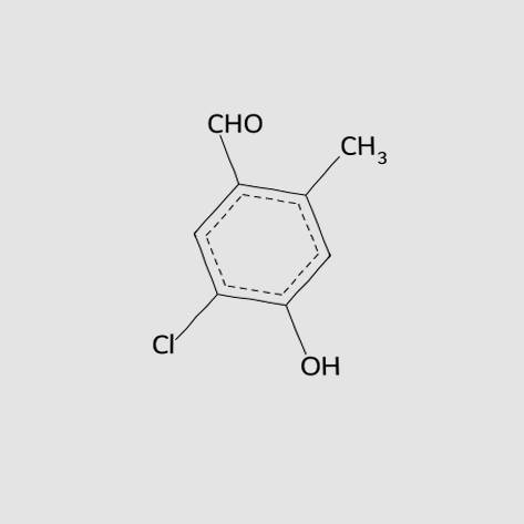 Cc1cc(O)c(Cl)cc1C=O